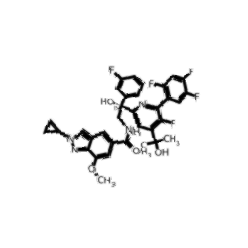 COc1cc(C(=O)NC[C@@](O)(c2cccc(F)c2)c2cc(C(C)(C)O)c(F)c(-c3cc(F)c(F)cc3F)n2)cc2cn(C3CC3)nc12